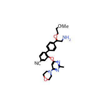 COCCOC(CN)c1ccc(-c2ccc(C#N)cc2Oc2cc(N3CCOCC3)nc(C)n2)cc1